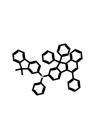 CC1(C)c2ccccc2-c2ccc(N(c3ccccc3)c3ccc4c(c3)C(c3ccccc3)(c3ccccc3)c3c-4c(-c4ccccc4)cc4ccccc34)cc21